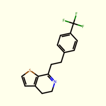 FC(F)(F)c1ccc(CCC2=NCCc3ccsc32)cc1